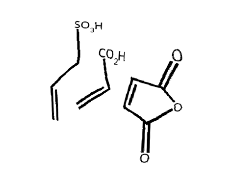 C=CC(=O)O.C=CCS(=O)(=O)O.O=C1C=CC(=O)O1